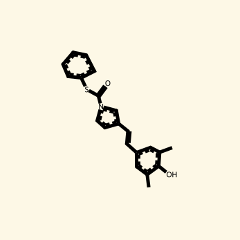 Cc1cc(/C=C/c2ccn(C(=O)Sc3ccccc3)c2)cc(C)c1O